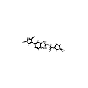 Cc1nn(C)cc1-c1ccc2nc(NC(=O)[C@H]3CCN(C#N)C3)sc2c1